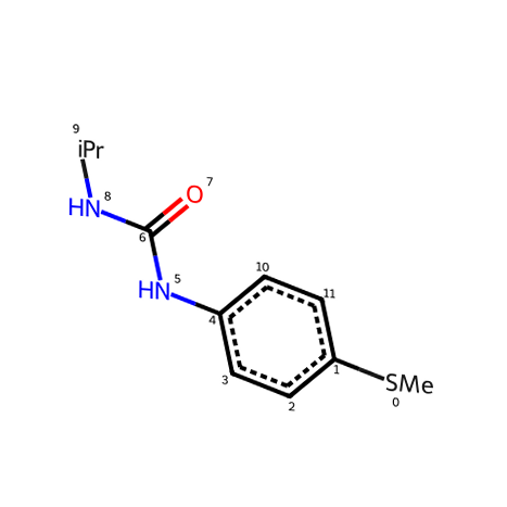 CSc1ccc(NC(=O)NC(C)C)cc1